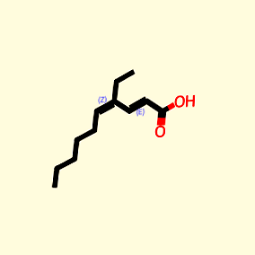 CCCCC/C=C(\C=C\C(=O)O)CC